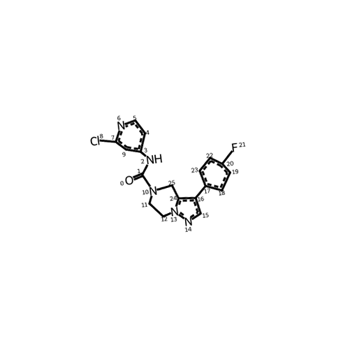 O=C(Nc1ccnc(Cl)c1)N1CCn2ncc(-c3ccc(F)cc3)c2C1